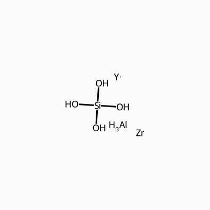 O[Si](O)(O)O.[AlH3].[Y].[Zr]